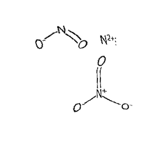 O=N[O-].O=[N+]([O-])[O-].[N+2]